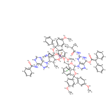 [C-]#[N+]CCOP(=S)(OCC1OC(n2cnc3c2N=C(NC(=O)C(C)C)NC3OC(=O)C(c2ccccc2)c2ccccc2)C(OC(c2ccccc2)(c2ccc(OC)cc2)c2ccc(OC)cc2)C1F)OC1C(C)C(n2cnc3c(NC(=O)c4ccccc4)ncnc32)C2CC21COC(c1ccccc1)(c1ccc(OC)cc1)c1ccc(OC)cc1